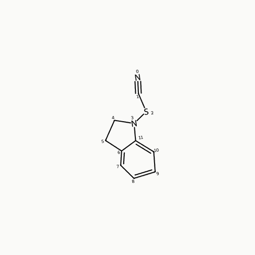 N#CSN1CCc2ccccc21